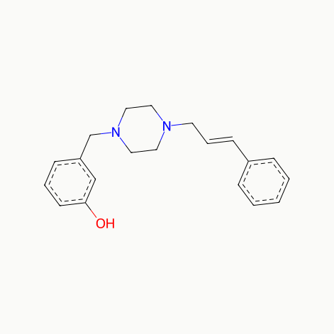 Oc1cccc(CN2CCN(C/C=C/c3ccccc3)CC2)c1